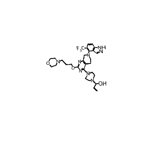 C=CC(O)N1CCN(c2nc(OCCCN3CCOCC3)nc3c2CCN(c2c(C(F)(F)F)ccc4[nH]ncc24)C3)CC1